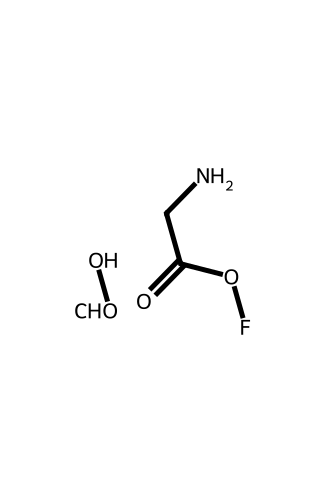 NCC(=O)OF.O=CO